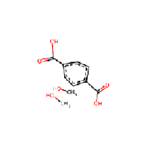 CO.CO.O=C(O)c1ccc(C(=O)O)cc1